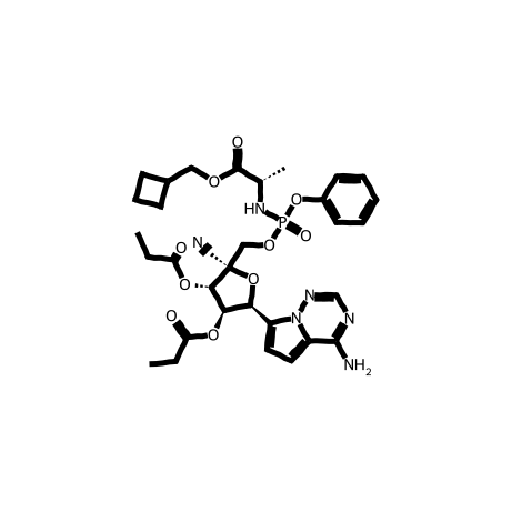 CCC(=O)O[C@@H]1[C@H](c2ccc3c(N)ncnn23)O[C@](C#N)(COP(=O)(N[C@@H](C)C(=O)OCC2CCC2)Oc2ccccc2)[C@H]1OC(=O)CC